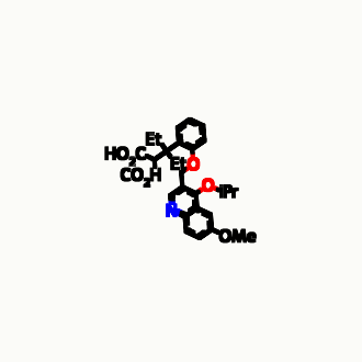 CCC(CC)(c1ccccc1OCc1cnc2ccc(OC)cc2c1OC(C)C)C(C(=O)O)C(=O)O